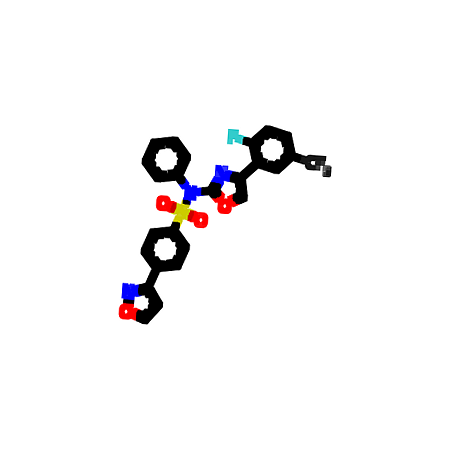 O=S(=O)(c1ccc(-c2ccon2)cc1)N(c1ccccc1)c1nc(-c2cc(C(F)(F)F)ccc2F)co1